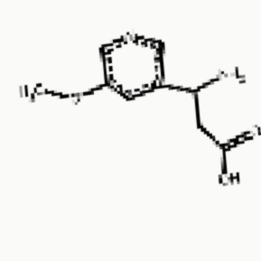 COc1cncc(C(N)CC(=O)O)c1